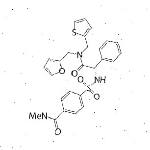 CNC(=O)c1ccc(S(=O)(=O)N[C@H](C(=O)N(Cc2ccco2)Cc2cccs2)c2ccccc2)cc1